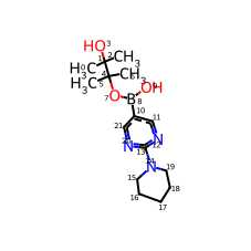 CC(C)(O)C(C)(C)OB(O)c1cnc(N2CCCCC2)nc1